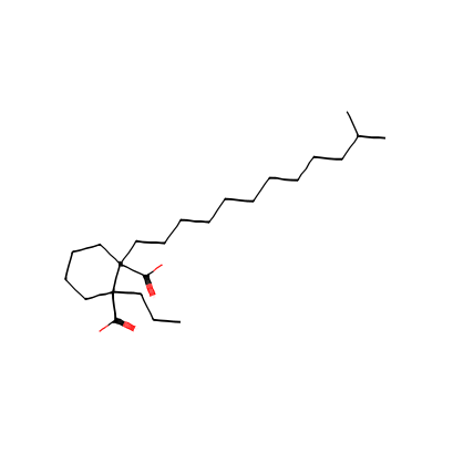 CCCC1(C(=O)O)CCCCC1(CCCCCCCCCCC(C)C)C(=O)O